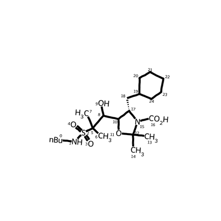 CCCCNS(=O)(=O)C(C)(C)C(O)C1OC(C)(C)N(C(=O)O)[C@H]1CC1CCCCC1